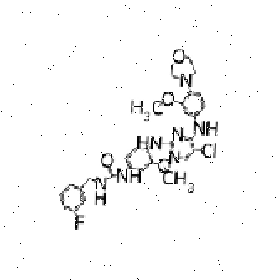 COc1cc(NC(=O)NCc2cccc(F)c2)ccc1Nc1ncc(Cl)c(Nc2ccc(N3CCOCC3)c(OC)c2)n1